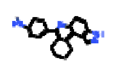 CNc1ccc(-c2nc3ccc4[nH]ncc4c3c3c2CCCC3)cc1